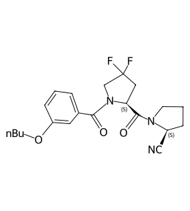 CCCCOc1cccc(C(=O)N2CC(F)(F)C[C@H]2C(=O)N2CCC[C@H]2C#N)c1